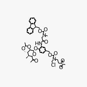 CC(=O)OC1[C@H](Oc2ccc(COC(=O)N(CCl)CCS(C)(=O)=O)cc2NC(=O)CN(C)C(=O)OCC2c3ccccc3-c3ccccc32)OC(C(C)=O)[C@@H](C)[C@@H]1C